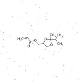 C=CC(=O)OCC1COC(C)(C(C)C)O1